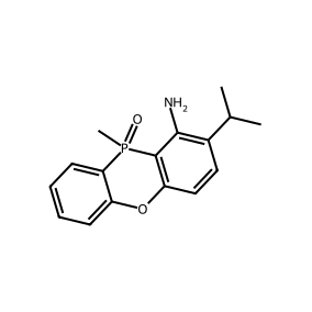 CC(C)c1ccc2c(c1N)P(C)(=O)c1ccccc1O2